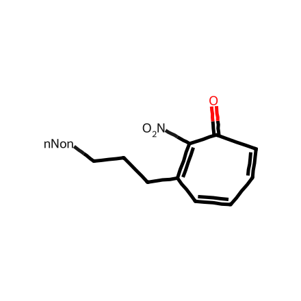 CCCCCCCCCCCCc1ccccc(=O)c1[N+](=O)[O-]